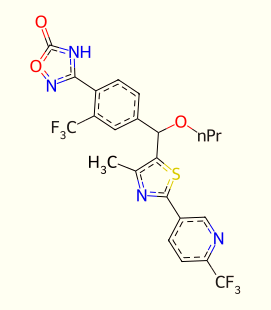 CCCOC(c1ccc(-c2noc(=O)[nH]2)c(C(F)(F)F)c1)c1sc(-c2ccc(C(F)(F)F)nc2)nc1C